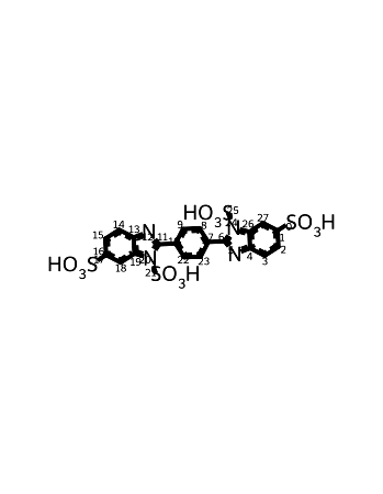 O=S(=O)(O)c1ccc2nc(-c3ccc(-c4nc5ccc(S(=O)(=O)O)cc5n4S(=O)(=O)O)cc3)n(S(=O)(=O)O)c2c1